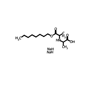 CCCCCCCCOC(=O)C(C)NC(C)C(=O)O.[NaH].[NaH]